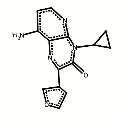 Nc1ccnc2c1nc(-c1ccoc1)c(=O)n2C1CC1